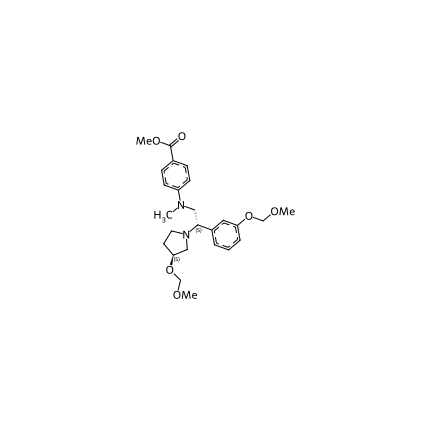 COCOc1cccc([C@@H](CN(C)c2ccc(C(=O)OC)cc2)N2CC[C@H](OCOC)C2)c1